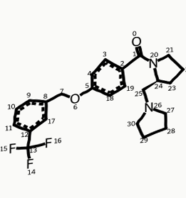 O=C(c1ccc(OCc2cccc(C(F)(F)F)c2)cc1)N1CCC[C@H]1CN1CCCC1